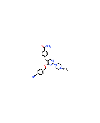 CN1CCN(c2ncc(Cc3ccc(C(N)=O)cc3)c(OCc3ccc(C#N)cc3)n2)CC1